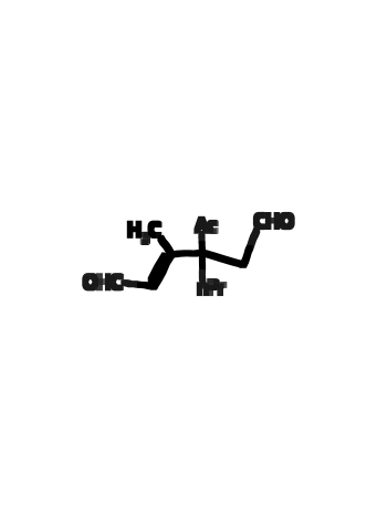 CCCC(CC=O)(C(C)=O)C(C)=CC=O